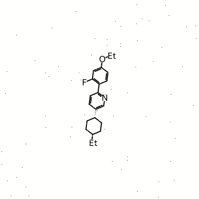 CCOc1ccc(-c2ccc([C@H]3CC[C@H](CC)CC3)cn2)c(F)c1